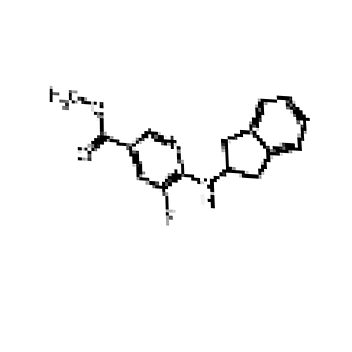 COC(=O)c1cnc(NC2Cc3ccccc3C2)c(F)c1